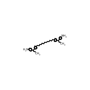 CCCC(c1ccc(N)cc1)c1ccc(CCCCCCCCCCCCCc2ccc(C(CCC)c3ccc(N)cc3)cc2)cc1